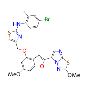 COc1cc(OCc2csc(Nc3ccc(Br)cc3C)n2)c2cc(-c3cnc4sc(OC)nn34)oc2c1